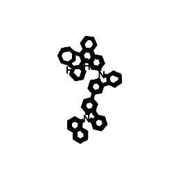 C1=CC2c3cc(-c4ccc5c(c4)c4ccccc4n5-c4cccc5ccccc45)ccc3N(c3ccc4c5c(c6c(c4c3)[C@@H]3C=CC=CC3[C@@H]3CCC=CC6C3)C=CCC5)C2C=C1